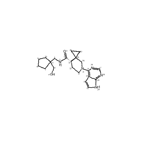 O=C(NCC1(CO)CCCC1)[C@H]1CCN(c2ncnc3[nH]ccc23)CC12CC2